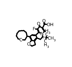 CC(C)(C)[C@@H]1Cc2c(cc(C3CCCCCCCC3)c3c2CCO3)-c2c(F)c(=O)c(C(=O)O)cn21